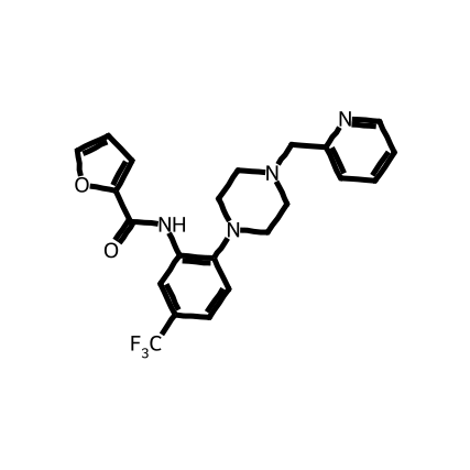 O=C(Nc1cc(C(F)(F)F)ccc1N1CCN(Cc2ccccn2)CC1)c1ccco1